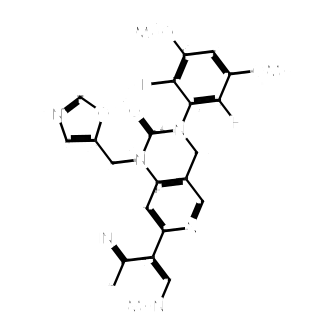 CN/C=C(\C(C)=N)c1cc2c(cn1)CN(c1c(F)c(OC)cc(OC)c1F)C(=O)N2Cc1cnco1